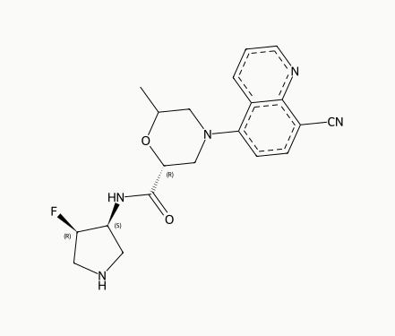 CC1CN(c2ccc(C#N)c3ncccc23)C[C@H](C(=O)N[C@H]2CNC[C@H]2F)O1